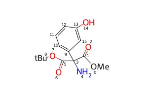 COC(=O)C(N)(C(=O)OC(C)(C)C)c1cccc(O)c1